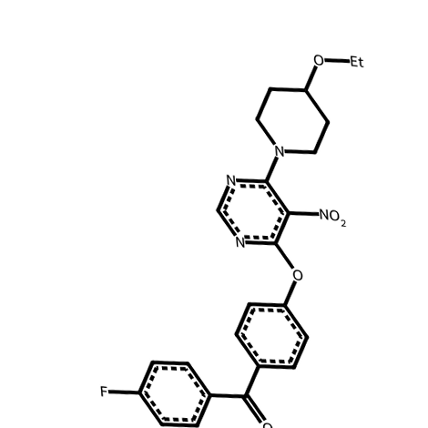 CCOC1CCN(c2ncnc(Oc3ccc(C(=O)c4ccc(F)cc4)cc3)c2[N+](=O)[O-])CC1